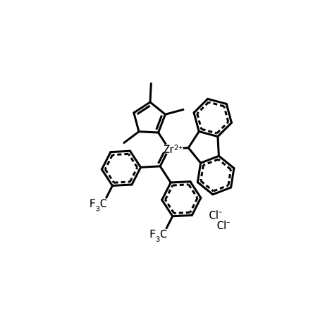 CC1=CC(C)[C]([Zr+2](=[C](c2cccc(C(F)(F)F)c2)c2cccc(C(F)(F)F)c2)[CH]2c3ccccc3-c3ccccc32)=C1C.[Cl-].[Cl-]